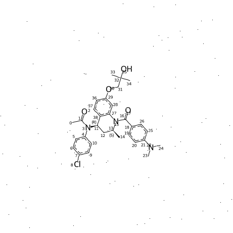 CC(=O)N(c1ccc(Cl)cc1)[C@@H]1C[C@H](C)N(C(=O)c2ccc(N(C)C)cc2)c2cc(OCC(C)(C)O)ccc21